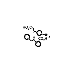 Nc1ccc(SCC(=O)O)cc1.O=C(O)c1ccccc1NCc1ccccc1